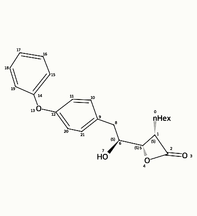 CCCCCC[C@@H]1C(=O)O[C@@H]1[C@@H](O)Cc1ccc(Oc2ccccc2)cc1